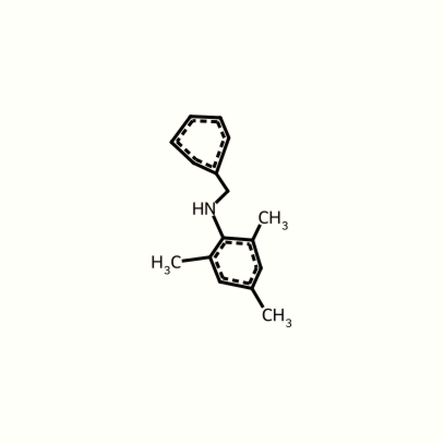 Cc1cc(C)c(NCc2ccccc2)c(C)c1